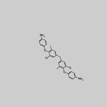 Cc1cc(Cc2cc(C)c(Oc3ccc(N)cc3)c(Cl)c2)cc(Cl)c1Oc1ccc(N)cc1